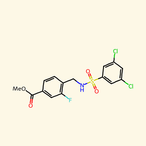 COC(=O)c1ccc(CNS(=O)(=O)c2cc(Cl)cc(Cl)c2)c(F)c1